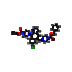 CC(C)(C)OC(=O)N1CCN(C2c3ccc(Cl)cc3C(CN3CCN(C(=O)OCc4ccccc4)CC3)=Cc3cccnc32)CC1